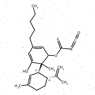 C=C(C)[C@@H]1CCC(C)=C[C@H]1C1(C)C(O)=CC(CCCCC)=CC1OC(=S)N=C=O